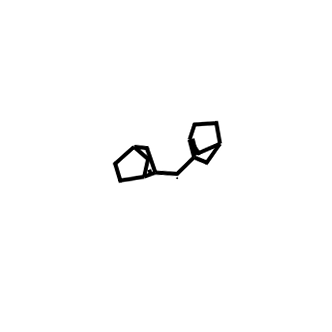 [CH](C1=C2CCC(C1)C2)C1=C2CCC(C1)C2